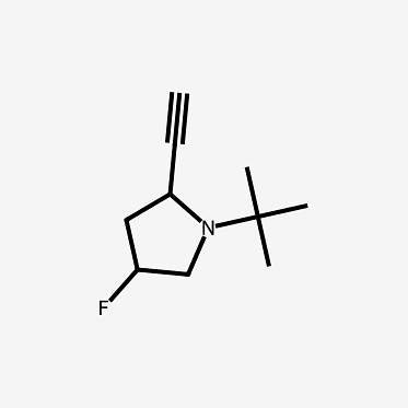 C#CC1CC(F)CN1C(C)(C)C